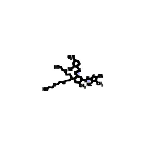 Cc1cc(N(CCOCCO)CCOCCOCCO)c(/N=N/c2ccc([N+](=O)[O-])cc2C#N)cc1/N=N/c1sc(C#N)c(C)c1C#N